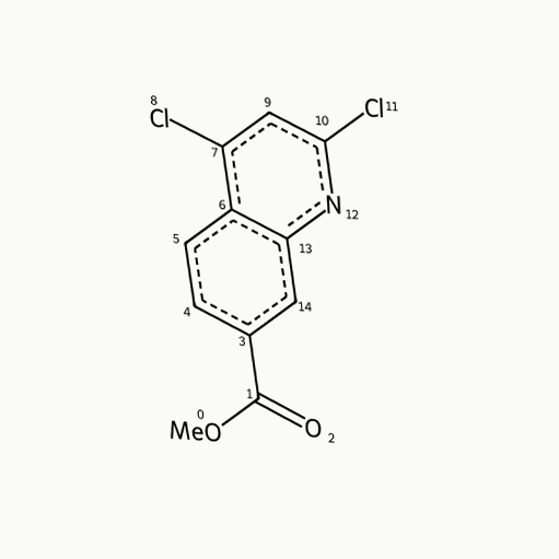 COC(=O)c1ccc2c(Cl)cc(Cl)nc2c1